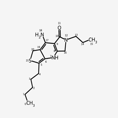 CCCCCC1=C2NC3=C(C(=O)N(CCC)C3)C(N)=C2CS1